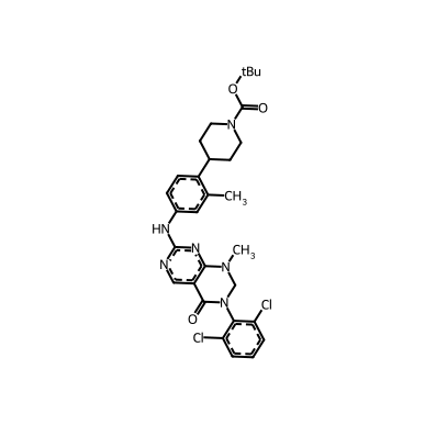 Cc1cc(Nc2ncc3c(n2)N(C)CN(c2c(Cl)cccc2Cl)C3=O)ccc1C1CCN(C(=O)OC(C)(C)C)CC1